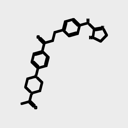 CC(=O)N1CCN(c2ccc(C(=O)CCc3ccc(NC4=NCCN4)cc3)cc2)CC1